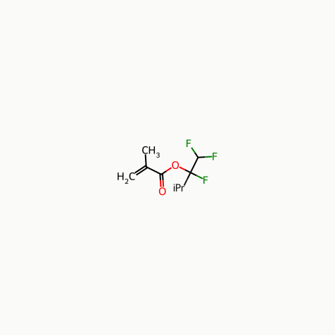 C=C(C)C(=O)OC(F)(C(C)C)C(F)F